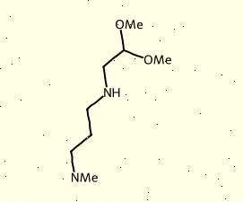 CNCCCNCC(OC)OC